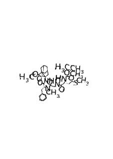 COC(=O)C12CC3CC(CC(NC(=O)[C@H](Cc4ccccc4)N(C)C(=O)CNC(=O)[C@@H](CCSC)NC(=O)OC(C)(C)C)(C3)C1)C2